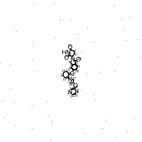 O=C1CCC(N2Cc3cc(O[C@H]4CCCC[C@@H]4N4CC(Oc5cnccn5)C4)ccc3C2=O)C(=O)N1